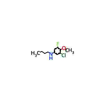 CCCCNc1cc(F)c(OC)c(Cl)c1